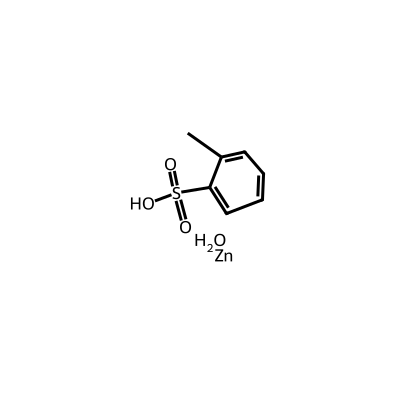 Cc1ccccc1S(=O)(=O)O.O.[Zn]